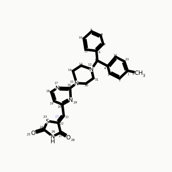 Cc1ccc(C(c2ccccc2)N2CCN(c3nccc(/C=C4\SC(=O)NC4=O)n3)CC2)cc1